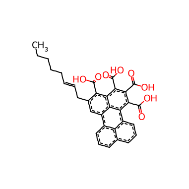 CCCCCC=CCc1cc2c3cccc4cccc(c5c(C(=O)O)c(C(=O)O)c(C(=O)O)c(c1C(=O)O)c25)c43